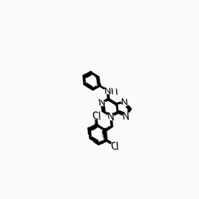 Clc1cccc(Cl)c1Cn1cnc(Nc2ccccc2)c2ncnc1-2